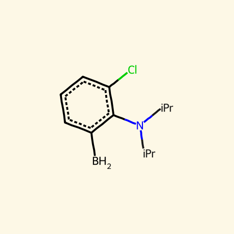 Bc1cccc(Cl)c1N(C(C)C)C(C)C